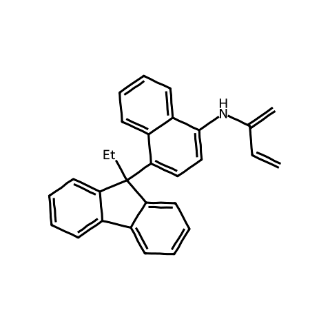 C=CC(=C)Nc1ccc(C2(CC)c3ccccc3-c3ccccc32)c2ccccc12